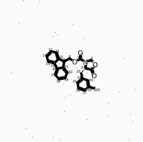 O=C1OCN(C(=O)OCC2c3ccccc3-c3ccccc32)[C@H]1Cc1cccc(I)c1